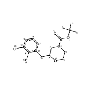 CC(C)(C)OC(=O)N1CCOC(Cc2cccc(Cl)c2Br)C1